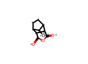 CC1C2CCC1C1C(=O)OC(=O)C21